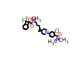 CN(C)C(=O)c1ccc(N2CCC3(CC2)CC3CCCN(C)C(=O)[C@]2(O)c3ccccc3C2(F)F)cc1Cl